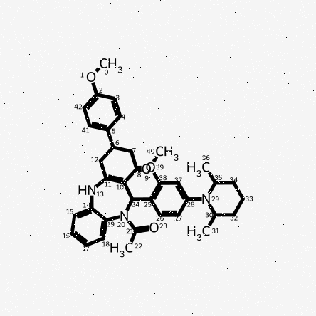 COc1ccc(C2CC(=O)C3=C(C2)Nc2ccccc2N(C(C)=O)C3c2ccc(N3C(C)CCCC3C)cc2OC)cc1